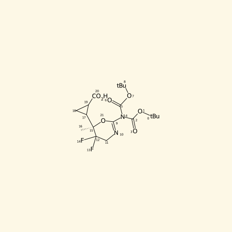 CC(C)(C)OC(=O)N(C(=O)OC(C)(C)C)C1=NCC(F)(F)[C@@](C)(C2CC2C(=O)O)O1